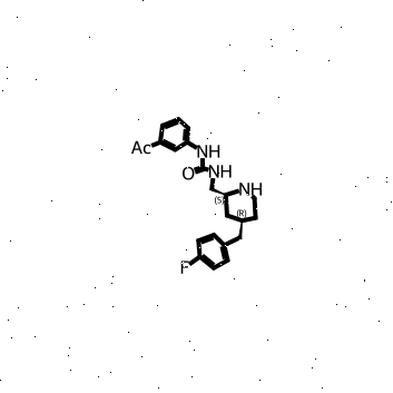 CC(=O)c1cccc(NC(=O)NC[C@@H]2C[C@H](Cc3ccc(F)cc3)CCN2)c1